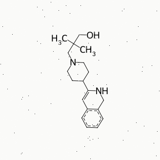 CC(C)(CO)CN1CCC(C2=Cc3ccccc3CN2)CC1